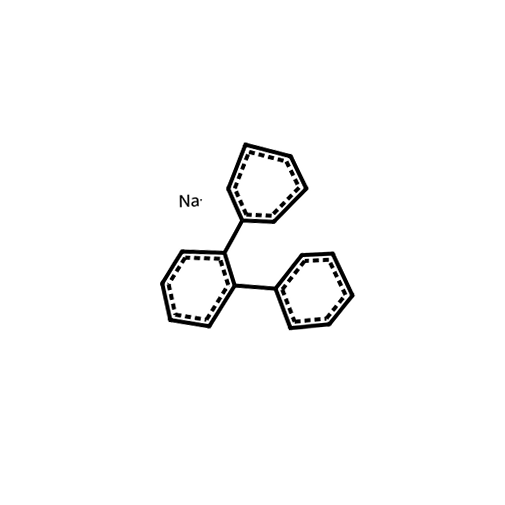 [Na].c1ccc(-c2ccccc2-c2ccccc2)cc1